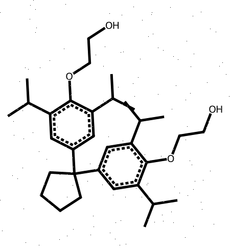 CC(C)c1cc(C2(c3cc(C(C)C)c(OCCO)c(C(C)C)c3)CCCC2)cc(C(C)C)c1OCCO